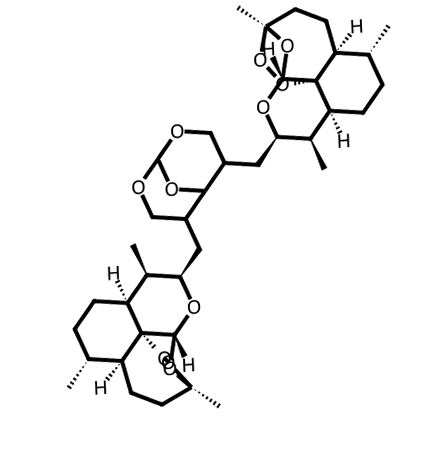 C[C@H]1[C@@H](CC2COC3OCC(C[C@H]4O[C@@H]5O[C@]6(C)CC[C@H]7[C@H](C)CC[C@@H]([C@H]4C)[C@@]57OO6)C2O3)O[C@@H]2O[C@]3(C)CC[C@H]4[C@H](C)CC[C@@H]1[C@@]24OO3